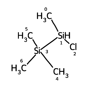 C[SiH](Cl)[Si](C)(C)C